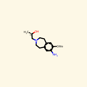 COc1cc2c(cc1N)CCN(C[C@@H](C)O)CC2